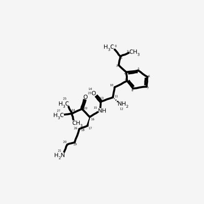 CC(C)Cc1ccccc1C[C@H](N)C(=O)N[C@@H](CCCCN)C(=O)C(C)(C)C